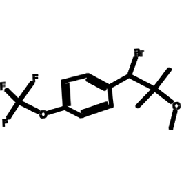 COC(C)(C)C(Br)c1ccc(OC(F)(F)F)cc1